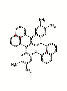 Nc1cc2c(-c3ccccc3)c3c(-c4ccccc4)c4cc(N)c(N)cc4c(-c4ccccc4)c3c(-c3ccccc3)c2cc1N